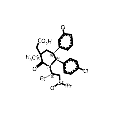 CC[C@@H](C[S+]([O-])C(C)C)N1C(=O)[C@@](C)(CC(=O)O)C[C@H](c2cccc(Cl)c2)[C@H]1c1ccc(Cl)cc1